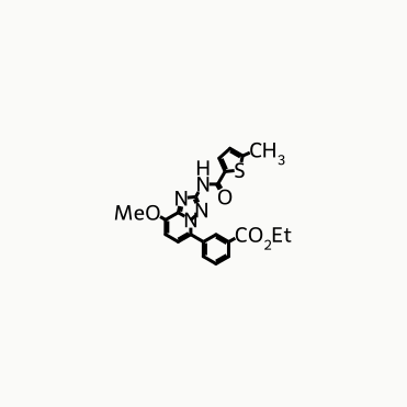 CCOC(=O)c1cccc(-c2ccc(OC)c3nc(NC(=O)c4ccc(C)s4)nn23)c1